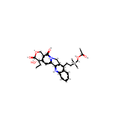 CC[C@@]1(O)C(=O)OCc2c1cc1n(c2=O)Cc2c-1nc1ccccc1c2CC[Si](C)(C)COC(C)=O